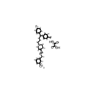 Fc1ccc(C(CCCN2CCC(=NOCc3cccc(C(F)(F)F)c3)CC2)c2ccc(F)cc2)cc1.O=C(O)C(=O)O